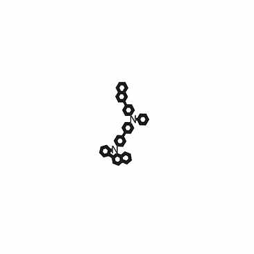 c1ccc(N(c2ccc(-c3ccc(-n4c5ccccc5c5ccc6ccccc6c54)cc3)cc2)c2ccc(-c3ccc4ccccc4c3)cc2)cc1